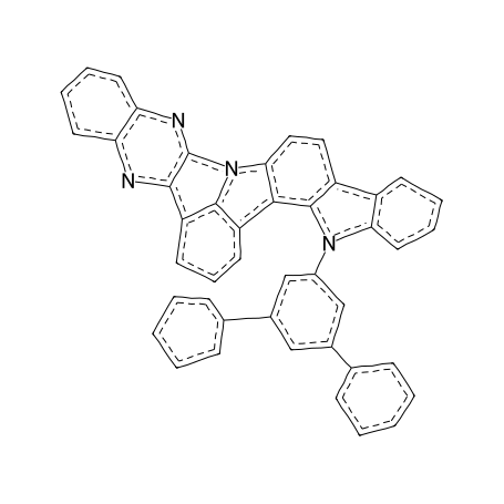 c1ccc(-c2cc(-c3ccccc3)cc(-n3c4ccccc4c4ccc5c(c6cccc7c8nc9ccccc9nc8n5c76)c43)c2)cc1